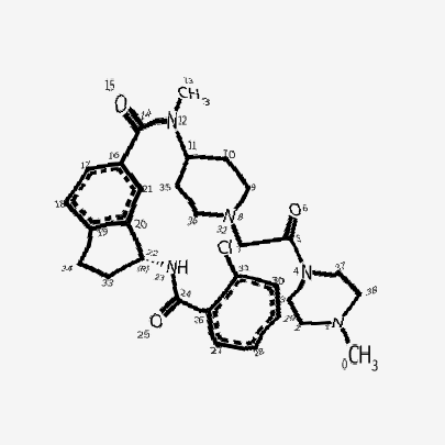 CN1CCN(C(=O)CN2CCC(N(C)C(=O)c3ccc4c(c3)[C@H](NC(=O)c3ccccc3Cl)CC4)CC2)CC1